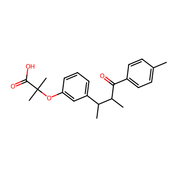 Cc1ccc(C(=O)C(C)C(C)c2cccc(OC(C)(C)C(=O)O)c2)cc1